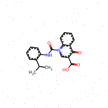 CC(C)c1ccccc1NC(=O)n1cc(C(=O)O)c(=O)c2ccccc21